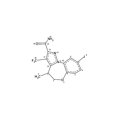 CC1COc2ccc(I)cc2-n2nc(C(N)=O)c(C(F)(F)F)c21